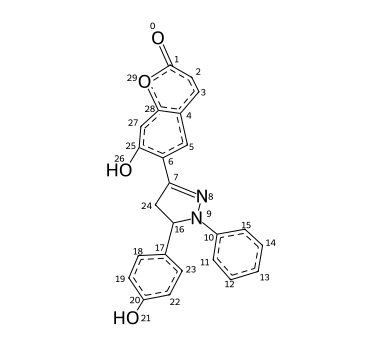 O=c1ccc2cc(C3=NN(c4ccccc4)C(c4ccc(O)cc4)C3)c(O)cc2o1